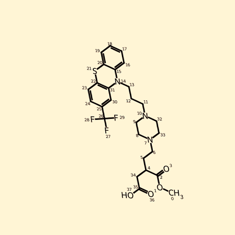 COC(=O)C(CCN1CCN(CCCN2c3ccccc3Sc3ccc(C(F)(F)F)cc32)CC1)CC(=O)O